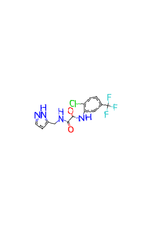 O=C(NCc1ccn[nH]1)C(=O)Nc1cc(C(F)(F)F)ccc1Cl